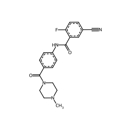 CN1CCN(C(=O)c2ccc(NC(=O)c3cc(C#N)ccc3F)cc2)CC1